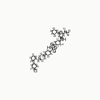 Cc1cc(S(=O)(=O)NC(=O)c2ccc(N3CCN(Cc4ccccc4-c4ccc(Cl)cc4)CC3)cc2)ccc1N[C@@H](CSc1ccccc1)CC(=O)N(C)C(C)C